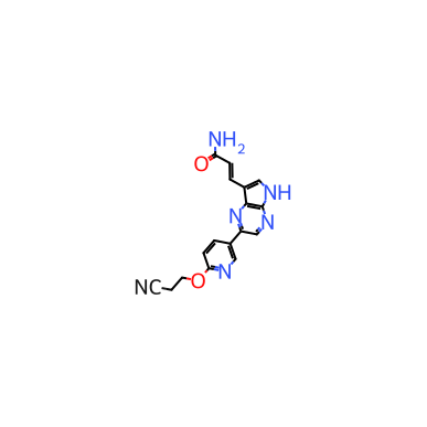 N#CCCOc1ccc(-c2cnc3[nH]cc(C=CC(N)=O)c3n2)cn1